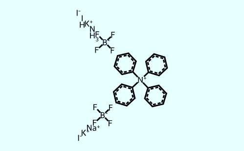 F[B-](F)(F)F.F[B-](F)(F)F.I.N.[I-].[I-].[K+].[K+].[Na+].c1ccc([N+](c2ccccc2)(c2ccccc2)c2ccccc2)cc1